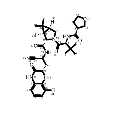 CC(C)(C)[C@H](NC(=O)[C@H]1CCOC1)C(=O)N1C[C@H]2[C@@H]([C@H]1C(=O)N[C@H](C#N)C[C@@H]1Oc3c(Cl)cccc3NC1=O)C2(C)C